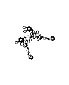 O=C(ON(Cc1ccc(Cl)c(Cl)c1)C(=O)Nc1nc(COCCN2CCCC2)cs1)C(=O)ON(Cc1ccc(Cl)c(Cl)c1)C(=O)Nc1nc(COCCN2CCCC2)cs1